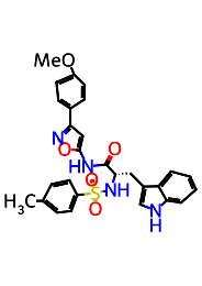 COc1ccc(-c2cc(NC(=O)[C@H](Cc3c[nH]c4ccccc34)NS(=O)(=O)c3ccc(C)cc3)on2)cc1